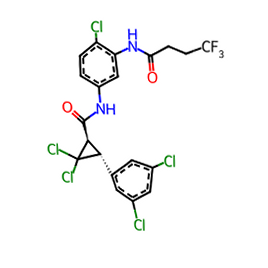 O=C(CCC(F)(F)F)Nc1cc(NC(=O)[C@H]2[C@H](c3cc(Cl)cc(Cl)c3)C2(Cl)Cl)ccc1Cl